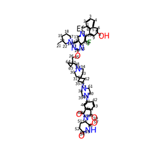 CCc1cccc2cc(O)cc(-c3ncc4c(N5CCC[C@H](C)C5)nc(OCC5(CN6CCC7(CC6)CC(N6CCN(c8ccc9c(c8)C(=O)N(C8CCC(=O)NC8=O)C9=O)CC6)C7)CC5)nc4c3F)c12